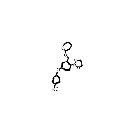 [C-]#[N+]c1ccc(Oc2ccc(B3OCCO3)c(COC3CCCCO3)c2)cc1